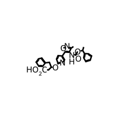 Cc1noc(-c2ccc(OC(CC(=O)O)Cc3ccccc3)nc2)c1NC(=O)OC(C)c1ccccc1